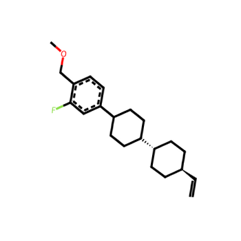 C=C[C@H]1CC[C@H](C2CCC(c3ccc(COC)c(F)c3)CC2)CC1